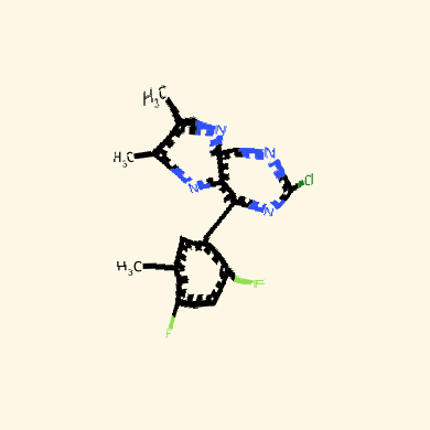 Cc1cc(-c2nc(Cl)nc3nc(C)c(C)nc23)c(F)cc1F